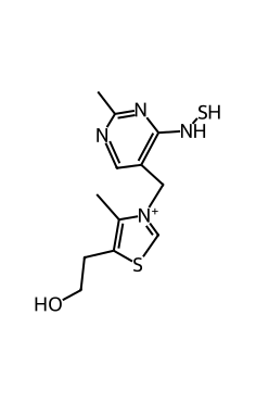 Cc1ncc(C[n+]2csc(CCO)c2C)c(NS)n1